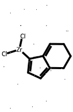 [Cl][Zr]([Cl])[C]1=CC=C2CCCC=C21